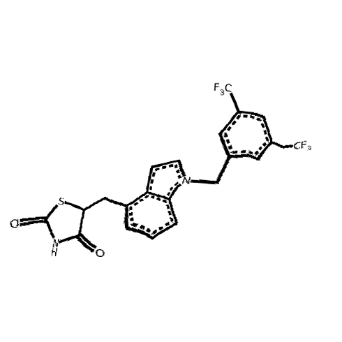 O=C1NC(=O)C(Cc2cccc3c2ccn3Cc2cc(C(F)(F)F)cc(C(F)(F)F)c2)S1